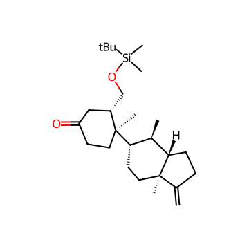 C=C1CC[C@H]2[C@H](C)[C@@H]([C@@]3(C)CCC(=O)C[C@@H]3CO[Si](C)(C)C(C)(C)C)CC[C@]12C